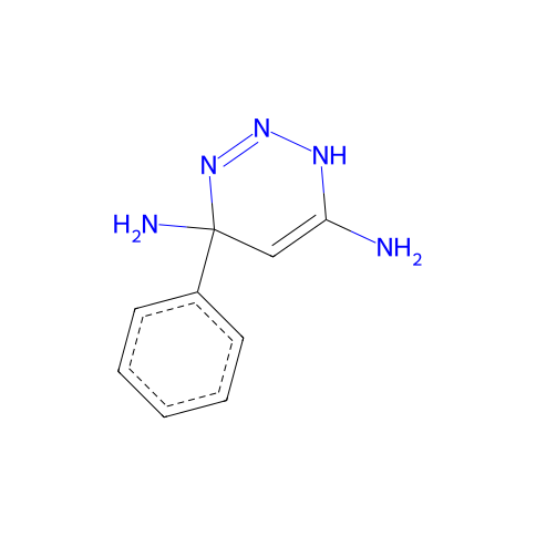 NC1=CC(N)(c2ccccc2)N=NN1